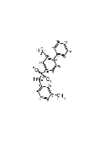 Cc1cccc(NS(=O)(=O)c2ccc(-c3ccccc3)c(C)c2)c1